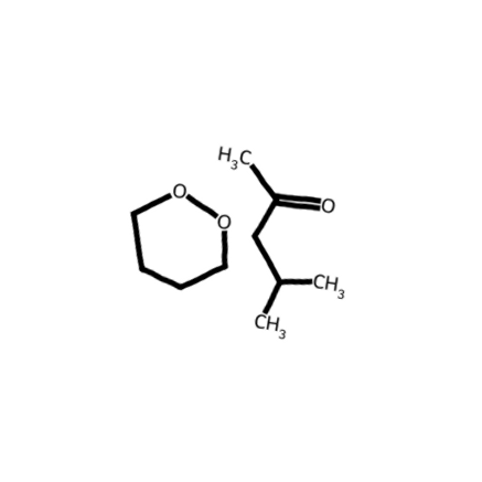 C1CCOOC1.CC(=O)CC(C)C